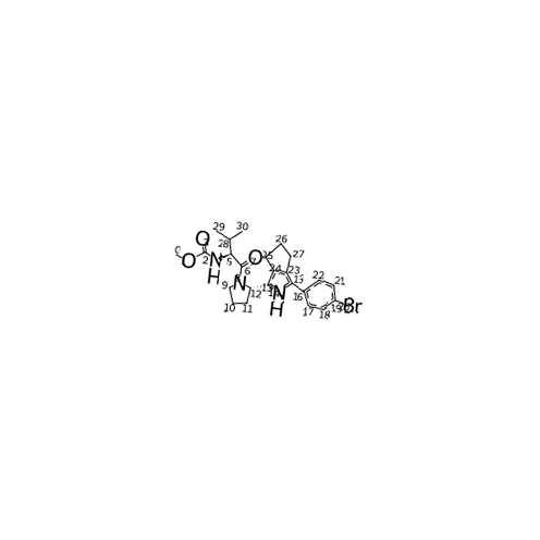 COC(=O)N[C@H](C(=O)N1CCC[C@H]1c1[nH]c(-c2ccc(Br)cc2)c2c1CCC2)C(C)C